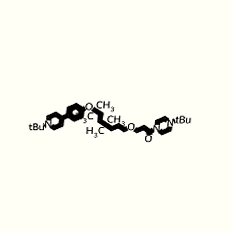 CC(C)(CCCOCCC(=O)N1CCN(C(C)(C)C)CC1)CCC(C)(C)Oc1ccc(C2CCN(C(C)(C)C)CC2)cc1